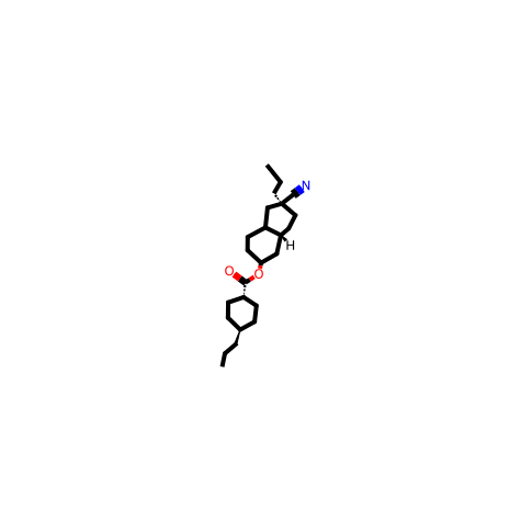 CCC[C@]1(C#N)CC[C@@H]2CC(OC(=O)[C@H]3CC[C@H](CCC)CC3)CCC2C1